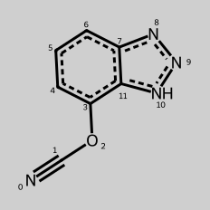 N#COc1cccc2nn[nH]c12